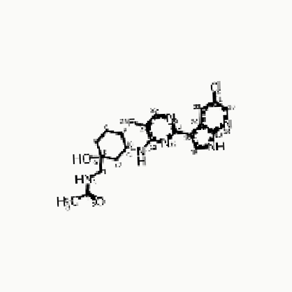 CC(=O)NC[C@]1(O)CCC[C@H](Nc2nc(-c3c[nH]c4ncc(Cl)cc34)ncc2F)C1